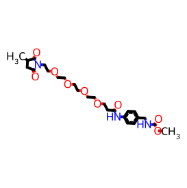 COC(=O)NCc1ccc(NC(=O)CCOCCOCCOCCOCCN2C(=O)CC(C)C2=O)cc1